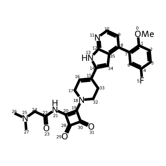 COc1ccc(F)cc1-c1ccnc2[nH]c(C3=CCN(c4c(NC(=O)CN(C)C)c(=O)c4=O)CC3)cc12